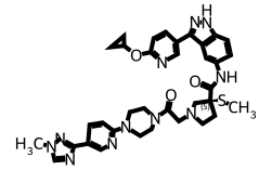 CS[C@@]1(C(=O)Nc2ccc3[nH]nc(-c4ccc(OC5CC5)nc4)c3c2)CCN(CC(=O)N2CCN(c3ccc(-c4ncn(C)n4)cn3)CC2)C1